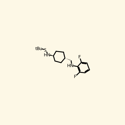 CC(C)(C)SN[C@H]1CC[C@H](CNc2c(F)cccc2F)CC1